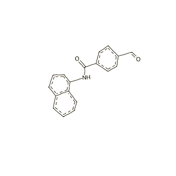 O=Cc1ccc(C(=O)Nc2cccc3ccccc23)cc1